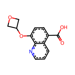 O=C(O)c1ccc(OC2COC2)c2ncccc12